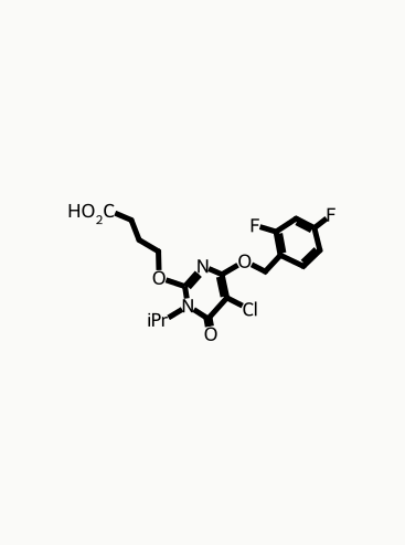 CC(C)n1c(OCCCC(=O)O)nc(OCc2ccc(F)cc2F)c(Cl)c1=O